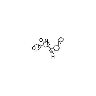 Cn1nc(-c2n[nH]c3ccc(-n4cccc4)cc23)cc(N2CCOCC2)c1=O